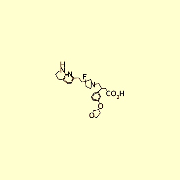 O=C(O)CC(CN1CCC(F)(CCc2ccc3c(n2)NCCC3)C1)c1cccc(OC2CCOC2)c1